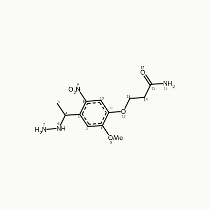 COc1cc(C(C)NN)c([N+](=O)[O-])cc1OCCC(N)=O